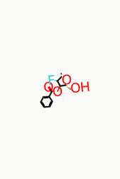 O=C(O[C@H]1[C@@H](F)[CH]O[C@@H]1CO)c1ccccc1